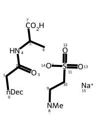 CCCCCCCCCCCC(=O)NC(C)C(=O)O.CNCCS(=O)(=O)[O-].[Na+]